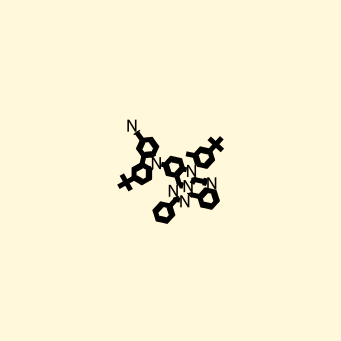 Cc1cc(C(C)(C)C)ccc1N(c1ccc(-n2c3ccc(C#N)cc3c3cc(C(C)(C)C)ccc32)cc1-c1nc(-c2ccccc2)nc(-c2ccccc2)n1)C(C)C#N